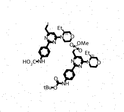 CC[C@H]1COCCN1c1cc(CI)nc(-c2ccc(NC(=O)O)cc2)n1.CC[C@H]1COCCN1c1cc(CS(=O)(=O)OC)nc(-c2ccc(NC(=O)OC(C)(C)C)cc2)n1